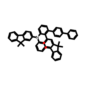 CC1(C)c2ccccc2-c2ccc(-c3c(-c4ccc(-c5ccccc5)cc4)cccc3N(c3ccccc3)c3ccc4c(c3)C(C)(C)c3ccccc3-4)cc21